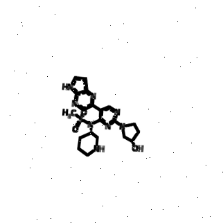 CS(=O)(=O)N(c1nc(N2CC[C@@H](O)C2)ncc1-c1cnc2[nH]ccc2n1)[C@H]1CCCNC1